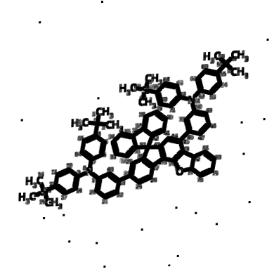 CC(C)(C)c1ccc(N(c2ccc([Si](C)(C)C)cc2)c2cccc(-c3ccc4c(c3)C3(c5ccccc5-c5ccccc53)c3cc(-c5cccc(N(c6ccc(C(C)(C)C)cc6)c6ccc([Si](C)(C)C)cc6)c5)c5c(c3-4)OC3C=CC=CC53)c2)cc1